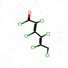 O=C(Cl)C(Cl)=C(Cl)C(Cl)=C(Cl)CCl